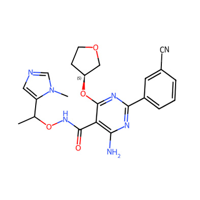 CC(ONC(=O)c1c(N)nc(-c2cccc(C#N)c2)nc1O[C@H]1CCOC1)c1cncn1C